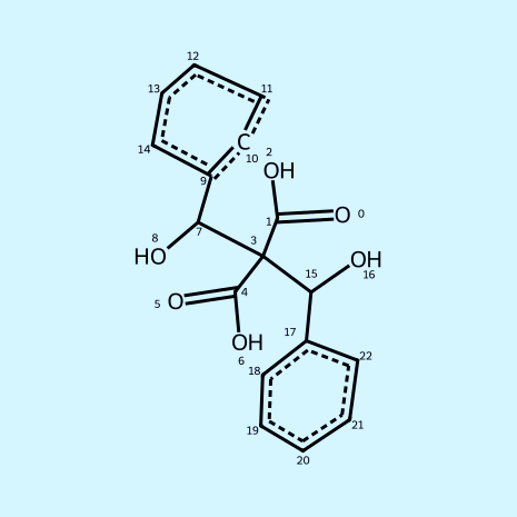 O=C(O)C(C(=O)O)(C(O)c1ccccc1)C(O)c1ccccc1